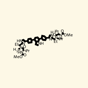 CC[C@@H](c1nc(-c2ccc(-c3ccc(-c4ccc(-c5c[nH]c([C@H](CC)N(C(=O)[C@@H](NC(=O)OC)C(C)C)C(C)C)n5)cc4)c4[nH]ccc34)cc2)c[nH]1)N(C)C(=O)[C@@H](NC(=O)OC)C(C)C